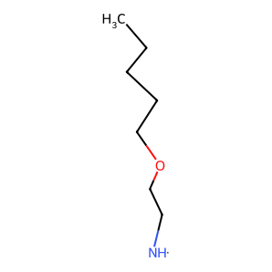 CCCCCOCC[NH]